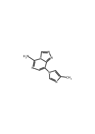 Cc1cn(-c2cnc(N)n3cnnc23)cn1